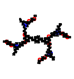 CCCC[N+](C)(CCCCOc1cc(/C=C/c2ccc(/C=C/c3cc(OCCCC[N+](C)(CCCC)CCOCCOC)cc(OCCCC[N+](C)(CCCC)CCOCCOC)c3)cc2)cc(OCCCC[N+](C)(CCCC)CCOCCOC)c1)CCOCCOC